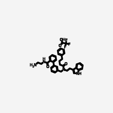 NCCNC(=O)c1ccccc1-c1cccc(CN(CCc2c[nH]c3ccccc23)C(=O)CCCc2ccccc2)c1.O=C(O)C(F)(F)F